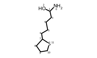 NC(O)CCCCC1CCCS1